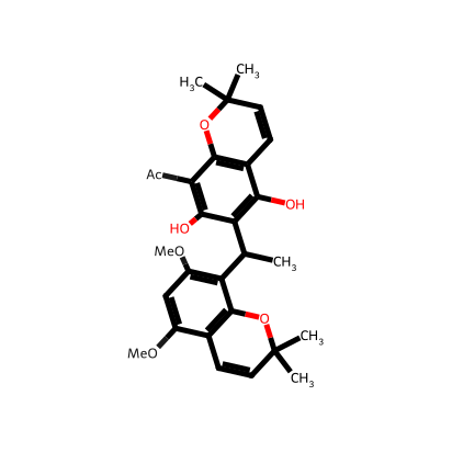 COc1cc(OC)c(C(C)c2c(O)c3c(c(C(C)=O)c2O)OC(C)(C)C=C3)c2c1C=CC(C)(C)O2